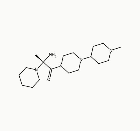 CN1CCC(N2CCN(C(=O)[C@@](C)(N)N3CCCCC3)CC2)CC1